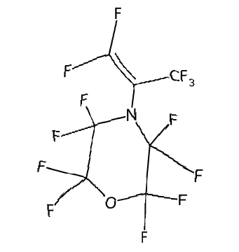 FC(F)=C(N1C(F)(F)C(F)(F)OC(F)(F)C1(F)F)C(F)(F)F